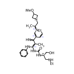 CC\C=C/C(=C\N=C(/C)CN1CC(OC)C1)C(=N)/C(C)=C(/NC(=O)N[C@@H](CO)CNCC)Nc1ccccc1